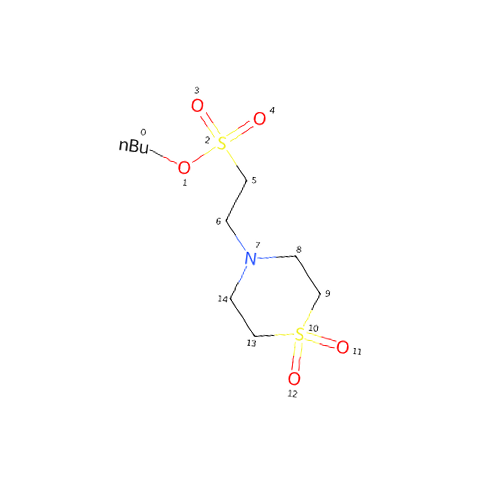 CCCCOS(=O)(=O)CCN1CCS(=O)(=O)CC1